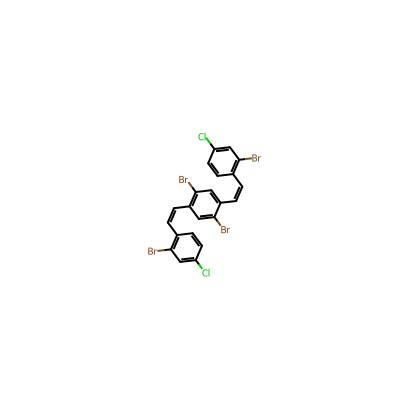 Clc1ccc(/C=C\c2cc(Br)c(/C=C\c3ccc(Cl)cc3Br)cc2Br)c(Br)c1